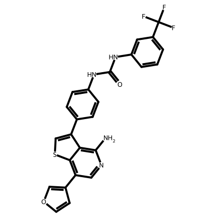 Nc1ncc(-c2ccoc2)c2scc(-c3ccc(NC(=O)Nc4cccc(C(F)(F)F)c4)cc3)c12